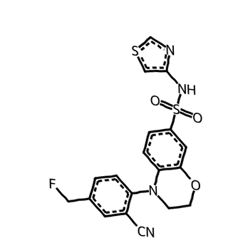 N#Cc1cc(CF)ccc1N1CCOc2cc(S(=O)(=O)Nc3cscn3)ccc21